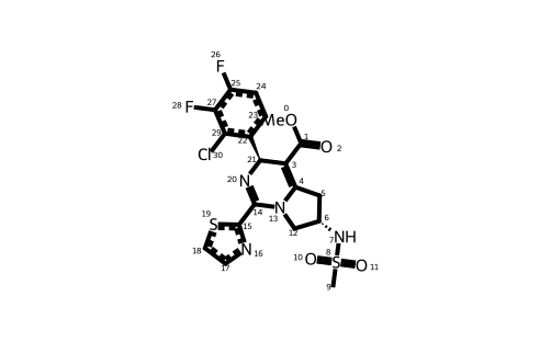 COC(=O)C1=C2C[C@H](NS(C)(=O)=O)CN2C(c2nccs2)=N[C@H]1c1ccc(F)c(F)c1Cl